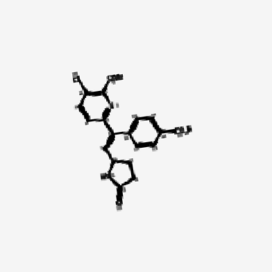 COc1nc(/C(=C/[C@H]2CCC(=O)N2)c2ccc(C(=O)O)cc2)ccc1Cl